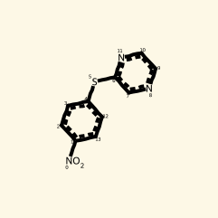 O=[N+]([O-])c1ccc(Sc2cnccn2)cc1